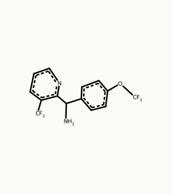 NC(c1ccc(OC(F)(F)F)cc1)c1ncccc1C(F)(F)F